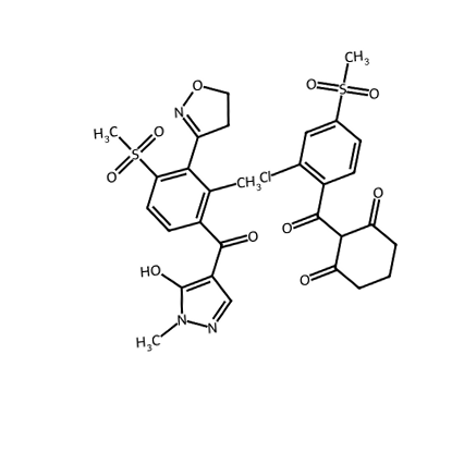 CS(=O)(=O)c1ccc(C(=O)C2C(=O)CCCC2=O)c(Cl)c1.Cc1c(C(=O)c2cnn(C)c2O)ccc(S(C)(=O)=O)c1C1=NOCC1